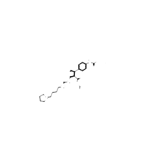 CCOC(=O)c1c(-c2ccc(NC(C)=O)cc2)csc1NC(=O)NCCCCN1CCCC1